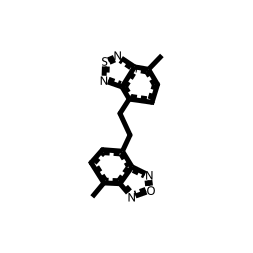 Cc1ccc(CCc2ccc(C)c3nsnc23)c2nonc12